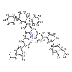 C/C=C\c1ccc(-c2ccc(N(c3ccc(C4=CC(c5ccc6ccccc6c5)CC=C4)cc3)C3C=CC(C4CC(C5=C=C=CC=C5)=CCC=C4c4ccccc4)=CC3)cc2)cc1C